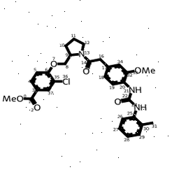 COC(=O)c1ccc(OCC2CCCN2C(=O)Cc2ccc(NC(=O)Nc3ccccc3C)c(OC)c2)c(Cl)c1